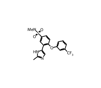 CNS(=O)(=O)c1ccc(Oc2cccc(C(F)(F)F)c2)c(-c2cnc(C)[nH]2)c1